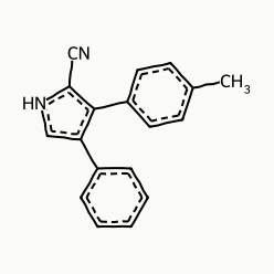 Cc1ccc(-c2c(-c3ccccc3)c[nH]c2C#N)cc1